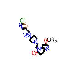 COc1cnc2ccc(=O)n(CCN3CCC(NCc4cnc(Cl)s4)CC3)c2c1